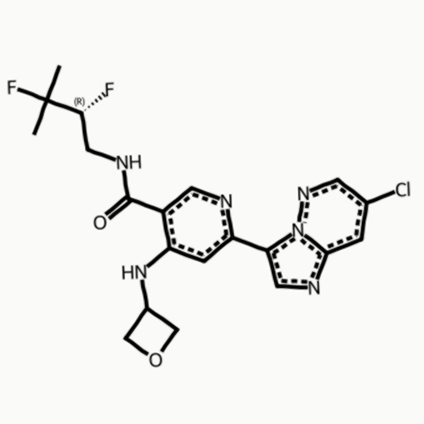 CC(C)(F)[C@H](F)CNC(=O)c1cnc(-c2cnc3cc(Cl)cnn23)cc1NC1COC1